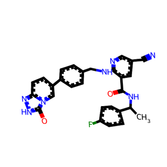 CC(NC(=O)c1cc(C#N)cnc1NCc1ccc(-c2ccc3n[nH]c(=O)n3c2)cc1)c1ccc(F)cc1